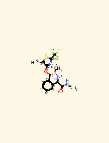 CNC(=O)/C(=N/OC)c1ccccc1COc1nc(C(F)(F)F)sc1C